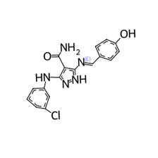 NC(=O)c1c(Nc2cccc(Cl)c2)n[nH]c1/N=C/c1ccc(O)cc1